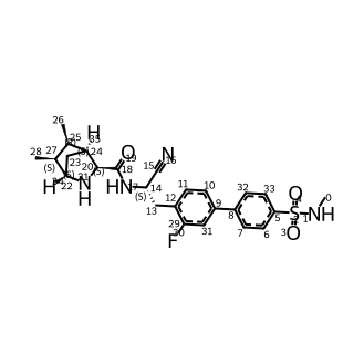 CNS(=O)(=O)c1ccc(-c2ccc(C[C@@H](C#N)NC(=O)[C@H]3N[C@H]4C[C@H]3[C@H](C)[C@@H]4C)c(F)c2)cc1